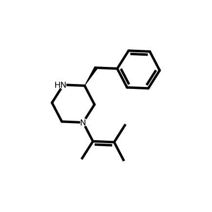 CC(C)=C(C)N1CCN[C@@H](Cc2ccccc2)C1